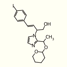 CC(OC1CCCCO1)c1nccn1C(/C=C/c1ccc(I)cc1)CO